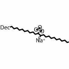 CCCCCCCCCCCCCCCCCCCCC(C(F)CCCCCCCCCCF)S(=O)(=O)[O-].[Na+]